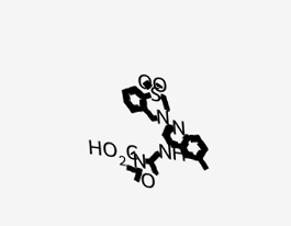 Cc1ccc2nc(N3CCS(=O)(=O)c4ccccc4C3)cc(NCC3COC(C)(C)N3C(=O)O)c2c1